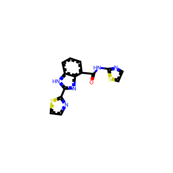 O=C(Nc1nccs1)c1cccc2[nH]c(-c3nccs3)nc12